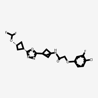 O=C(COc1ccc(Cl)c(F)c1)NC12CC(c3nnc([C@H]4C[C@@H](OC(F)F)C4)o3)(C1)C2